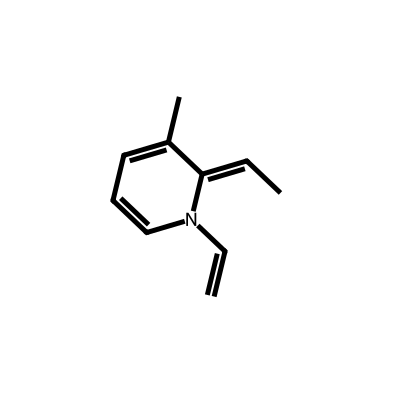 C=CN1C=CC=C(C)/C1=C/C